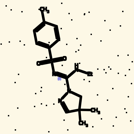 CCN/C(=N\S(=O)(=O)c1ccc(C)cc1)N1CC(C)(C)C=N1